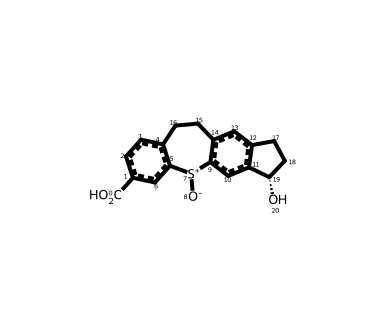 O=C(O)c1ccc2c(c1)[S+]([O-])c1cc3c(cc1CC2)CC[C@@H]3O